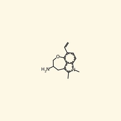 C=Cc1ccc2c3c(c(C)n2C)CC(N)COc13